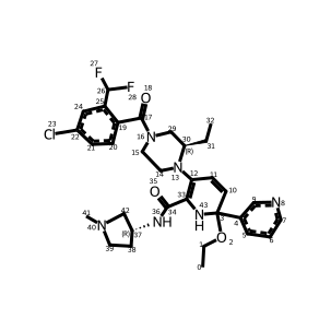 CCOC1(c2cccnc2)C=CC(N2CCN(C(=O)c3ccc(Cl)cc3C(F)F)C[C@H]2CC)=C(C(=O)N[C@@H]2CCN(C)C2)N1